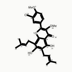 COc1ccc(-c2oc3c(CC=C(C)C)c(O)c(CC=C(C)C)c(O)c3c(=O)c2OC)cc1Cl